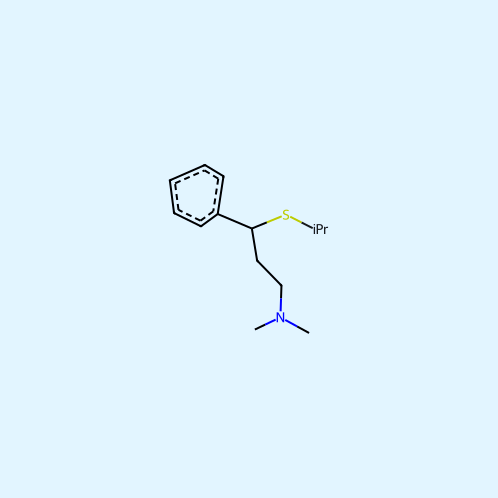 CC(C)SC(CCN(C)C)c1ccccc1